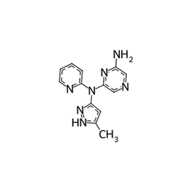 Cc1cc(N(c2ccccn2)c2cncc(N)n2)n[nH]1